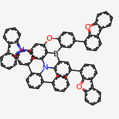 c1ccc(-c2cccc(-c3ccccc3)c2N2c3ccc(-c4cccc5c4oc4ccccc45)cc3B3c4cc(-c5cccc6c5oc5ccccc56)ccc4Oc4cc(-n5c6ccccc6c6ccccc65)cc2c43)cc1